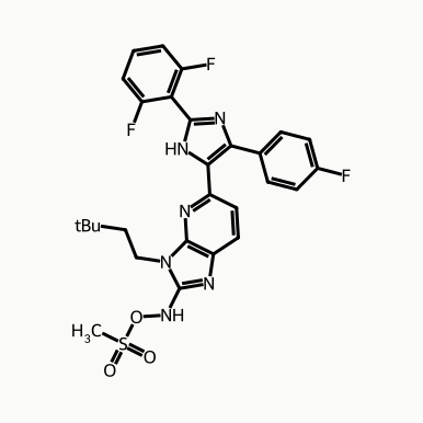 CC(C)(C)CCn1c(NOS(C)(=O)=O)nc2ccc(-c3[nH]c(-c4c(F)cccc4F)nc3-c3ccc(F)cc3)nc21